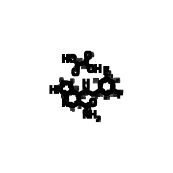 NC(=O)c1cnc2[nH]ccc2c1NCc1cc(F)cc(F)c1.O=C(O)C(=O)O